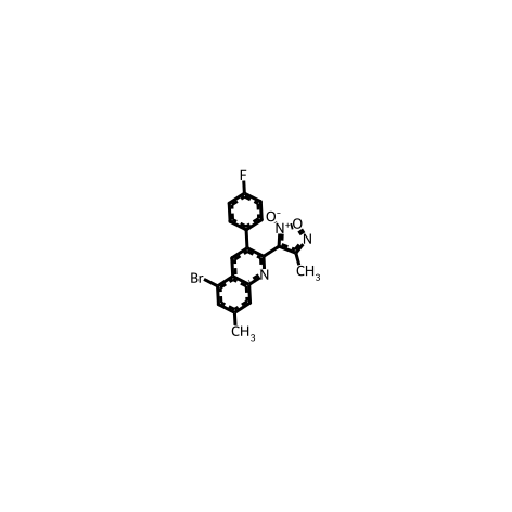 Cc1cc(Br)c2cc(-c3ccc(F)cc3)c(-c3c(C)no[n+]3[O-])nc2c1